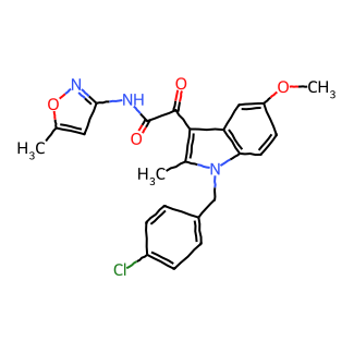 COc1ccc2c(c1)c(C(=O)C(=O)Nc1cc(C)on1)c(C)n2Cc1ccc(Cl)cc1